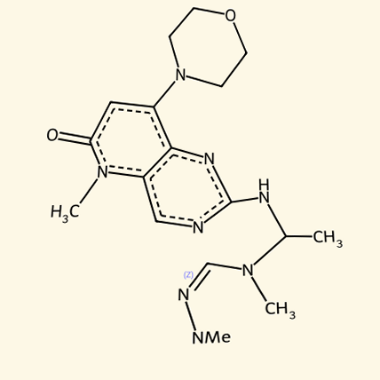 CN/N=C\N(C)C(C)Nc1ncc2c(n1)c(N1CCOCC1)cc(=O)n2C